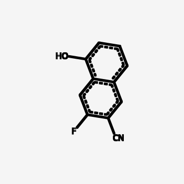 N#Cc1cc2cccc(O)c2cc1F